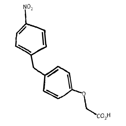 O=C(O)COc1ccc(Cc2ccc([N+](=O)[O-])cc2)cc1